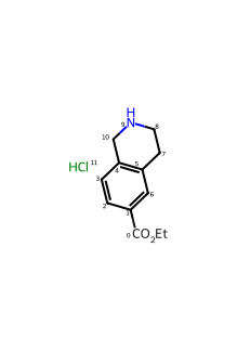 CCOC(=O)c1ccc2c(c1)CCNC2.Cl